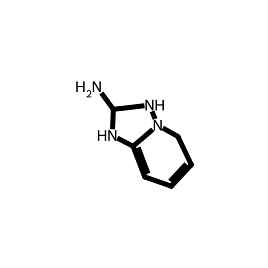 NC1NC2=CC=CCN2N1